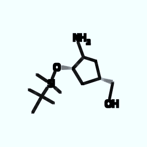 CC(C)(C)[Si](C)(C)O[C@H]1C[C@@H](CO)CC1N